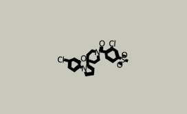 CS(=O)(=O)c1ccc(C(=O)N2CCC3(CC2)Oc2cc(Cl)ccc2-n2cccc23)c(Cl)c1